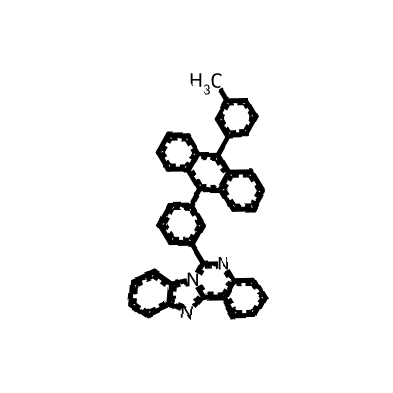 Cc1cccc(-c2c3ccccc3c(-c3cccc(-c4nc5ccccc5c5nc6ccccc6n45)c3)c3ccccc23)c1